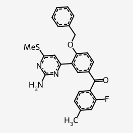 CSc1cc(-c2cc(C(=O)c3ccc(C)cc3F)ccc2OCc2ccccc2)nc(N)n1